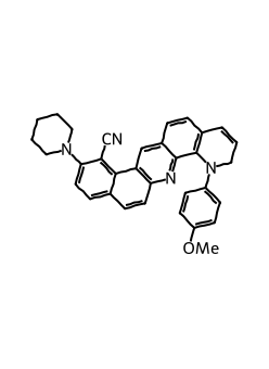 COc1ccc(N2CC=Cc3ccc4cc5c(ccc6ccc(N7CCCCC7)c(C#N)c65)nc4c32)cc1